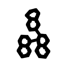 c1ccc2cc(-c3ccc4ccccc4c3-c3cccc4ccccc34)ccc2c1